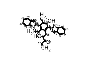 [CH2]c1c(O)c(-n2nc3ccccc3n2)c(CC(O)C(=O)C=C)c(CN)c1-n1nc2ccccc2n1